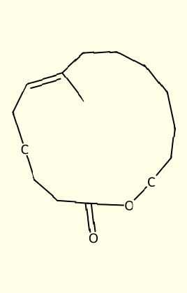 C/C1=C\CCCCC(=O)OCCCCCCC1